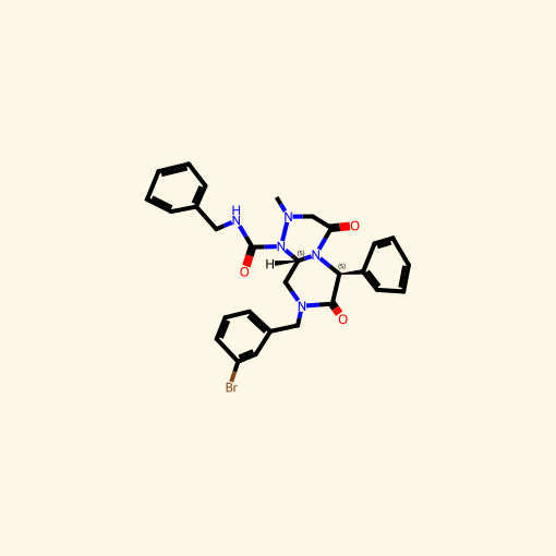 CN1CC(=O)N2[C@@H](c3ccccc3)C(=O)N(Cc3cccc(Br)c3)C[C@@H]2N1C(=O)NCc1ccccc1